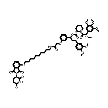 CC[C@H](C(=O)N1CCCC[C@H]1C(=O)OC(CCc1ccc(OC)c(OC)c1)c1cccc(OCC(=O)NCCCCCCCCCCOc2cccc3c2C(=O)N(C2CCC(=O)NC2=O)C3=O)c1)c1cc(OC)c(OC)c(OC)c1